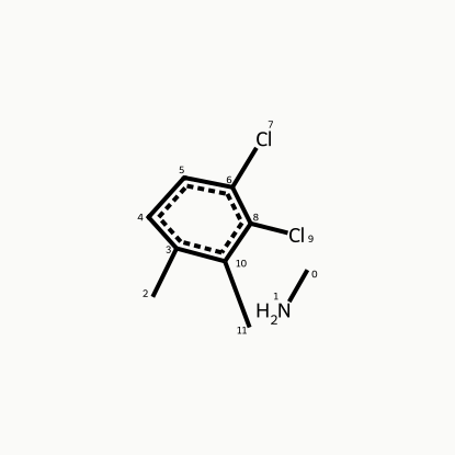 CN.Cc1ccc(Cl)c(Cl)c1C